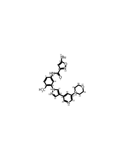 Cc1ccc(NC(=O)c2cc(C(C)(C)C)on2)cc1-n1cc(-c2cncc(N3CCOCC3)c2)cn1